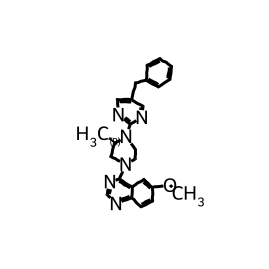 COc1ccc2ncnc(N3CCN(c4ncc(Cc5ccccc5)cn4)[C@H](C)C3)c2c1